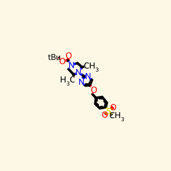 CC1CN(C(=O)OC(C)(C)C)CC(C)N1c1ncc(OCc2ccc(S(C)(=O)=O)cc2)cn1